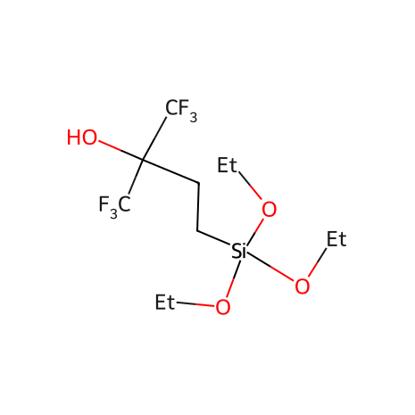 CCO[Si](CCC(O)(C(F)(F)F)C(F)(F)F)(OCC)OCC